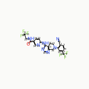 N#Cc1ccc(C(F)(F)F)cc1N1CCc2c(ncnc2Nc2ccc(C(=O)NCC(F)(F)F)cn2)C1